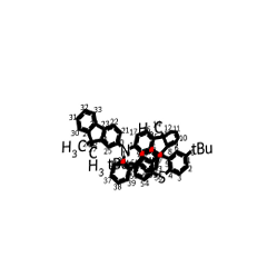 CC(C)(C)c1ccc2c(c1)C1(C3=CC=CCC3(C)c3ccc(N(c4ccc5c(c4)C(C)(C)c4ccccc4-5)c4ccccc4-c4ccccc4)cc31)c1cc(C(C)(C)C)ccc1S2